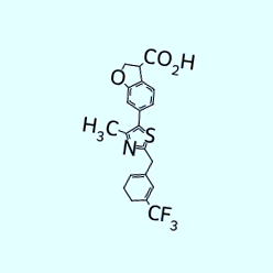 Cc1nc(CC2=CCCC(C(F)(F)F)=C2)sc1-c1ccc2c(c1)OCC2C(=O)O